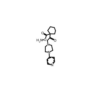 NOC(=O)C1(C(=O)CN2CCN(c3ccncc3)CC2)CCCCC1